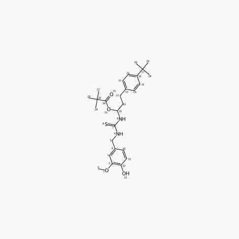 COc1cc(CNC(=S)NC(CCc2ccc(C(C)(C)C)cc2)OC(=O)C(C)(C)C)ccc1O